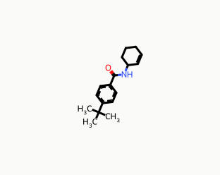 CC(C)(C)c1ccc(C(=O)NC2C=CCCC2)cc1